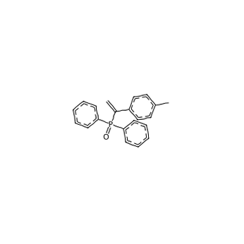 C=C(c1ccc(C)cc1)P(=O)(c1ccccc1)c1ccccc1